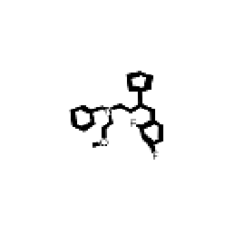 COCCN(CCC(Cc1ccc(F)cc1F)c1ccccc1)Cc1ccccc1